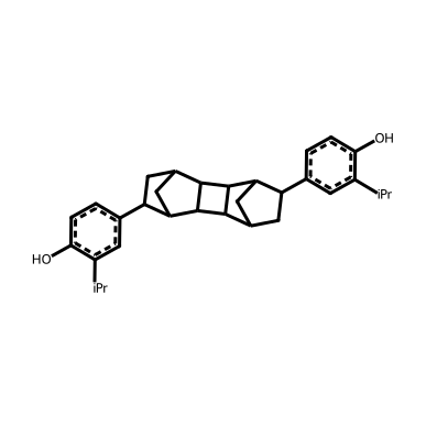 CC(C)c1cc(C2CC3CC2C2C3C3C4CC(CC4c4ccc(O)c(C(C)C)c4)C23)ccc1O